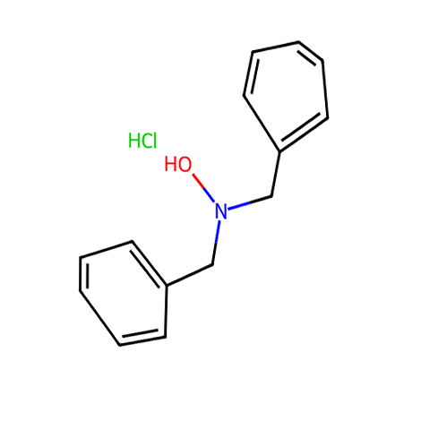 Cl.ON(Cc1ccccc1)Cc1ccccc1